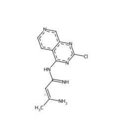 C/C(N)=C/C(=N)Nc1nc(Cl)nc2cnccc12